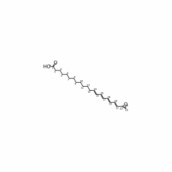 O=C(O)CCCCCCCCCCCC=CC=CC=CC=CC1=CO1